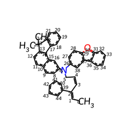 C/C=C(\C=C/CN(c1ccc2ccc3c(c2c1)-c1ccccc1C3(C)C)c1ccc2oc3ccccc3c2c1)c1ccccc1